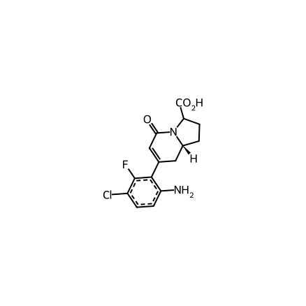 Nc1ccc(Cl)c(F)c1C1=CC(=O)N2C(C(=O)O)CC[C@@H]2C1